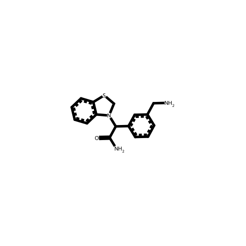 NCc1cccc(C(C(N)=O)N2CSc3ccccc32)c1